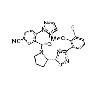 COc1c(F)cccc1-c1noc(C2CCCN2C(=O)c2cc(C#N)ccc2-n2nccn2)n1